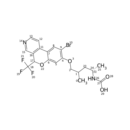 CC(COc1cc2c(cc1Br)-c1ccncc1C(C(F)(F)F)O2)C[C@H](C)NC(=O)O